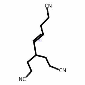 N#CCC/C=C/C(CCC#N)CCC#N